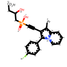 CC(C)c1c(C#CP(=O)(O)CC(O)CC(=O)O)c(-c2ccc(F)cc2)n2ccccc12